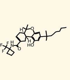 CCCCCC(C)(C)c1cc(O)c2c(c1)OC(C)(C)[C@@H]1CC=C(C(=O)NC3(C(F)(F)F)CCC3)C[C@@H]21